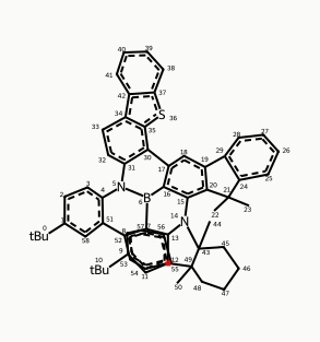 CC(C)(C)c1ccc(N2B3c4cc(C(C)(C)C)cc5c4N(c4c3c(cc3c4C(C)(C)c4ccccc4-3)-c3c2ccc2c3sc3ccccc32)C2(C)CCCCC52C)c(-c2ccccc2)c1